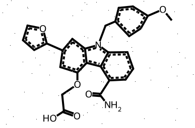 COc1ccc(Cn2c3cc(-c4ccco4)cc(OCC(=O)O)c3c3c(C(N)=O)cccc32)cc1